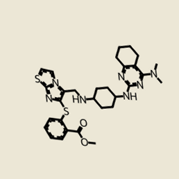 COC(=O)c1ccccc1Sc1nc2sccn2c1CNC1CCC(Nc2nc3c(c(N(C)C)n2)CCCC3)CC1